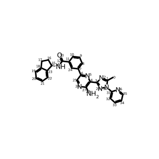 Cc1nc(-c2nc(-c3cccc(C(=O)N[C@H]4CCc5ccccc54)c3)cnc2N)nn1-c1ccccn1